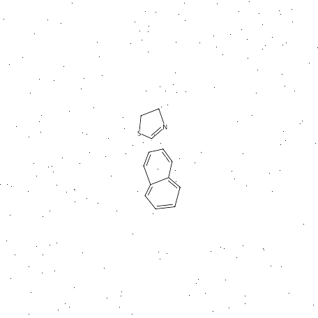 [C]1=NCCS1.[c]1cccc2ccccc12